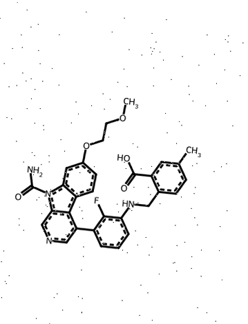 COCCOc1ccc2c3c(-c4cccc(NCc5ccc(C)cc5C(=O)O)c4F)cncc3n(C(N)=O)c2c1